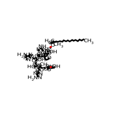 CCCCCCCCCCCCCCCCC(C)(C)C(=O)OCCSP(=O)(O)OC1C2OCCC[C@]2(COP(=O)(O)OC2C(O)[C@@H](COP(=O)(O)OC3C(OC)[C@@H](COP(=O)(O)OCCO)O[C@H]3n3cnc4c(N)ncnc43)O[C@H]2n2cnc3c(N)ncnc32)O[C@H]1n1cnc2c(N)ncnc21